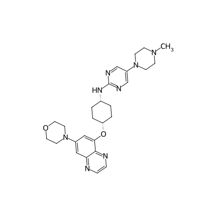 CN1CCN(c2cnc(N[C@H]3CC[C@@H](Oc4cc(N5CCOCC5)cc5nccnc45)CC3)nc2)CC1